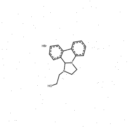 Br.OCCN1CCN2c3ccccc3-c3ccccc3C12